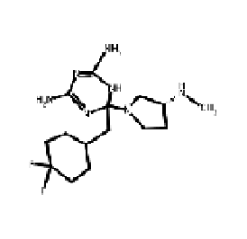 CN[C@@H]1CCN(C2(CC3CCC(F)(F)CC3)N=C(N)N=C(N)N2)C1